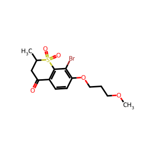 COCCCOc1ccc2c(c1Br)S(=O)(=O)C(C)CC2=O